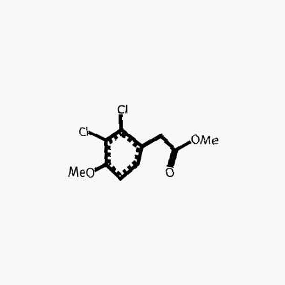 COC(=O)Cc1ccc(OC)c(Cl)c1Cl